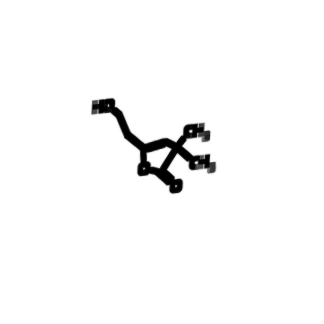 CC1(C)C=C(CCO)OC1=O